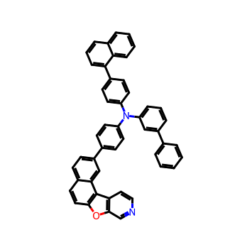 c1ccc(-c2cccc(N(c3ccc(-c4ccc5ccc6oc7cnccc7c6c5c4)cc3)c3ccc(-c4cccc5ccccc45)cc3)c2)cc1